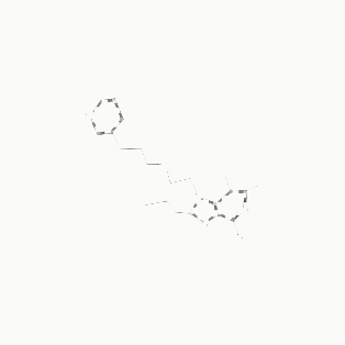 CCCc1nc2c(N)nc(C)c(C)c2n1CCOCCCc1cccnc1